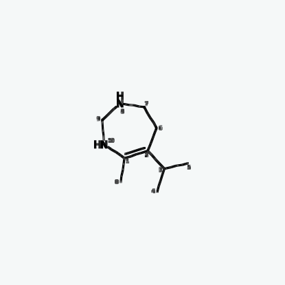 CC1=C(C(C)C)CCNCN1